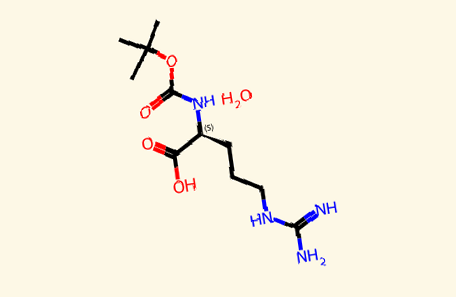 CC(C)(C)OC(=O)N[C@@H](CCCNC(=N)N)C(=O)O.O